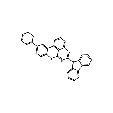 C1=CCCC(c2ccc3c(c2)-c2cccc4nc(-n5c6ccccc6c6ccccc65)nc(c24)S3)=C1